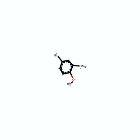 CCCOc1ccc(C(C)C)cc1OC